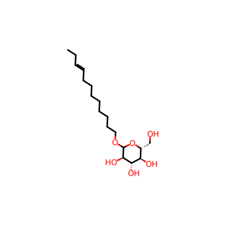 CCC=CCCCCCCCCOC1O[C@H](CO)[C@@H](O)[C@H](O)[C@H]1O